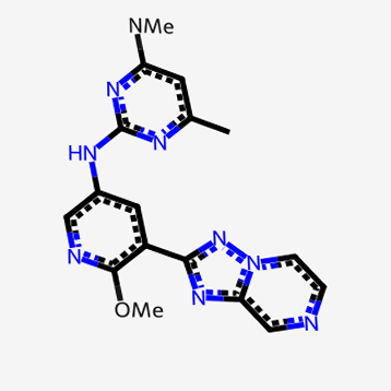 CNc1cc(C)nc(Nc2cnc(OC)c(-c3nc4cnccn4n3)c2)n1